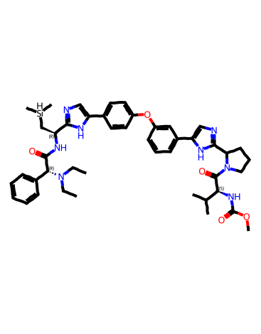 CCN(CC)[C@@H](C(=O)N[C@@H](C[SiH](C)C)c1ncc(-c2ccc(Oc3cccc(-c4cnc(C5CCCN5C(=O)[C@@H](NC(=O)OC)C(C)C)[nH]4)c3)cc2)[nH]1)c1ccccc1